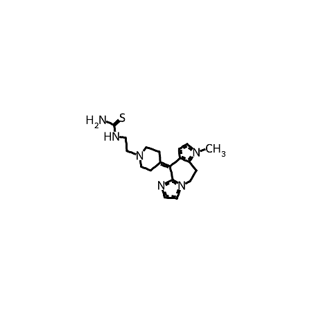 Cn1ccc2c1CCn1ccnc1C2=C1CCN(CCNC(N)=S)CC1